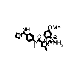 COc1ccc(-n2nc(C)cc2C(=O)Nc2ccc(C(=N)N3CCC3)cc2)c(S(N)(=O)=O)c1